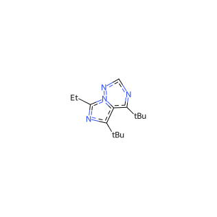 CCc1nc(C(C)(C)C)c2c(C(C)(C)C)ncnn12